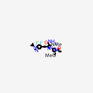 C=CC(=O)N1C[C@@H](n2nc(C#Cc3cc4ncn(C5CC5)c4c(F)c3F)c(C(N)=O)c2NC)C[C@@H]1COC